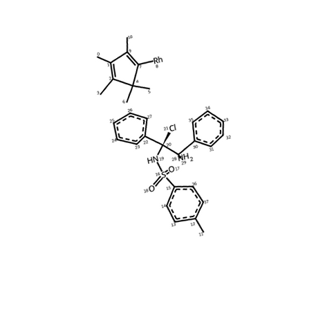 CC1=C(C)C(C)(C)[C]([Rh])=C1C.Cc1ccc(S(=O)(=O)N[C@](Cl)(c2ccccc2)[C@H](N)c2ccccc2)cc1